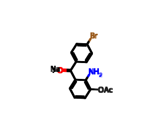 CC(=O)Oc1cccc(C(=O)c2ccc(Br)cc2)c1N.[Na]